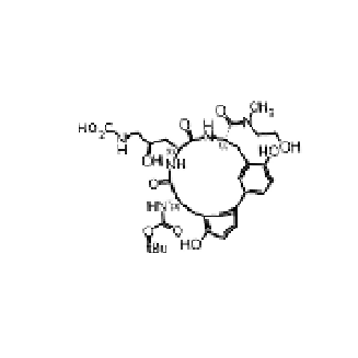 CN(CCO)C(=O)[C@@H]1Cc2cc(ccc2O)-c2ccc(O)c(c2)C[C@H](NC(=O)OC(C)(C)C)C(=O)N[C@@H](CC(O)CNC(=O)O)C(=O)N1